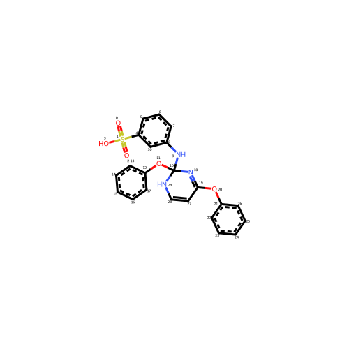 O=S(=O)(O)c1cccc(NC2(Oc3ccccc3)N=C(Oc3ccccc3)C=CN2)c1